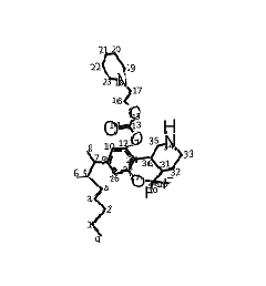 CCCCCC(C)C(C)c1cc(OC(=O)OCCN2CCCCC2)c2c(c1)OC(F)(F)C1CCNCC21